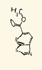 COC(=O)c1ccc2ncsc2n1